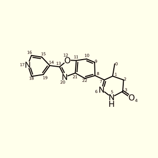 CC1CC(=O)NN=C1c1ccc2oc(-c3ccncc3)nc2c1